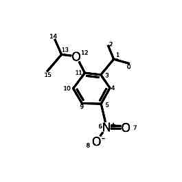 C[C](C)c1cc([N+](=O)[O-])ccc1OC(C)C